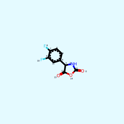 O=C1NC(c2ccc(F)c(F)c2)C(=O)O1